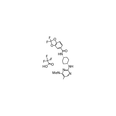 CNc1nc(N[C@H]2CC[C@@H](NC(=O)c3ccc4c(c3)OC(F)(F)O4)CC2)ncc1C.O=C(O)C(F)(F)F